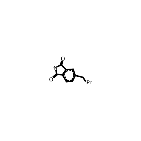 CC(C)Cc1ccc2c(c1)C(=O)[N]C2=O